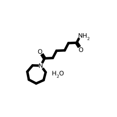 NC(=O)CCCCC(=O)N1CCCCCC1.O